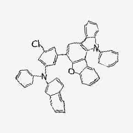 Clc1cc(-c2cc3c4ccccc4n(-c4ccccc4)c3c3c2oc2ccccc23)cc(N(c2ccccc2)c2ccc3ccccc3c2)c1